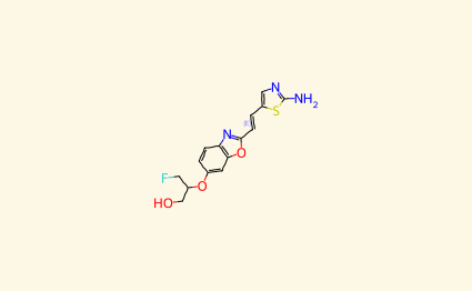 Nc1ncc(/C=C/c2nc3ccc(OC(CO)CF)cc3o2)s1